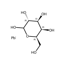 OC[C@H]1OC(O)[C@H](O)[C@@H](O)[C@H]1O.[Pb]